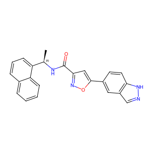 C[C@@H](NC(=O)c1cc(-c2ccc3[nH]ncc3c2)on1)c1cccc2ccccc12